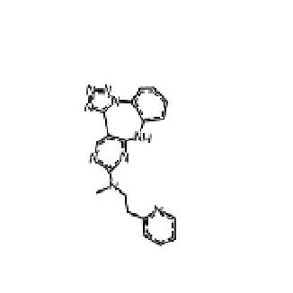 CN(CCc1ccccn1)c1ncc2c(n1)Nc1ccccc1-n1nnnc1-2